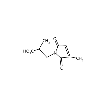 CC1=CC(=O)N(CC(C)C(=O)O)C1=O